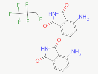 FCC(F)(F)C(F)(F)F.Nc1cccc2c1C(=O)NC2=O.Nc1cccc2c1C(=O)NC2=O